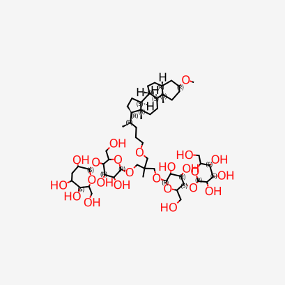 CO[C@@H]1CC[C@@]2(C)[C@H](CC[C@@H]3[C@@H]2CC[C@]2(C)[C@@H]([C@H](C)CCCOCC(C)(CO[C@@H]4OC(CO)C(O[C@@H]5OC(CO)[C@@H](O)C(O)CC5O)[C@H](O)C4O)CO[C@@H]4OC(CO)[C@@H](O[C@H]5OC(CO)[C@@H](O)[C@H](O)C5O)[C@H](O)C4O)CC[C@@H]32)C1